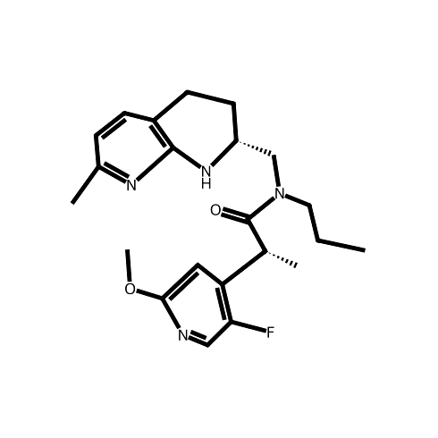 CCCN(C[C@H]1CCc2ccc(C)nc2N1)C(=O)[C@H](C)c1cc(OC)ncc1F